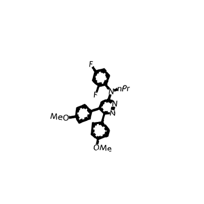 CCCN(c1cc(-c2ccc(OC)cc2)c(-c2ccc(OC)cc2)nn1)c1ccc(F)cc1F